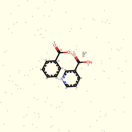 O=C(O)c1cccnc1.O=C([O-])c1ccccc1.[Li+]